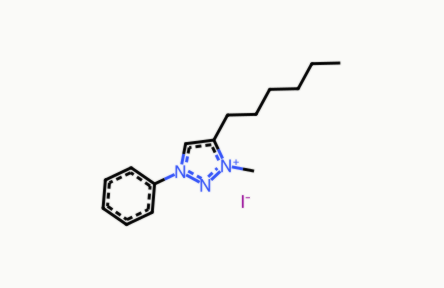 CCCCCCc1cn(-c2ccccc2)n[n+]1C.[I-]